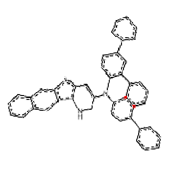 C1=C(N(c2ccc(-c3ccccc3)cc2)c2ccc(-c3ccccc3)cc2-c2ccccc2)CNc2c1sc1cc3ccccc3cc21